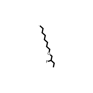 [CH2]CCCCCCCOCC(F)CC